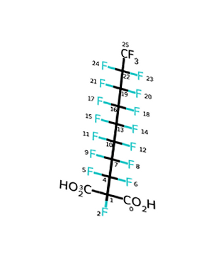 O=C(O)C(F)(C(=O)O)C(F)(F)C(F)(F)C(F)(F)C(F)(F)C(F)(F)C(F)(F)C(F)(F)C(F)(F)F